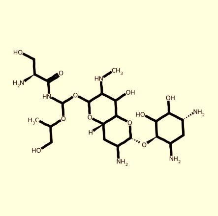 CNC1C(OC(NC(=O)[C@@H](N)CO)OC(C)CO)O[C@H]2CC(N)[C@@H](O[C@@H]3C(N)C[C@@H](N)C(O)C3O)OC2C1O